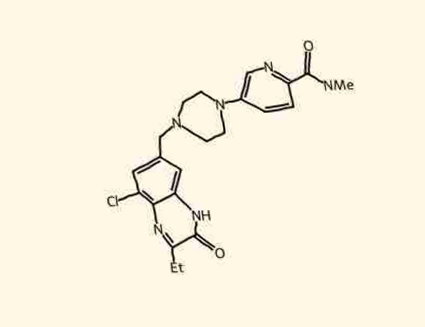 CCc1nc2c(Cl)cc(CN3CCN(c4ccc(C(=O)NC)nc4)CC3)cc2[nH]c1=O